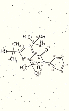 CC(C)(O)c1cc(C(C)(C)O)c(C(=O)Oc2ccccc2)c(C(C)(C)O)c1